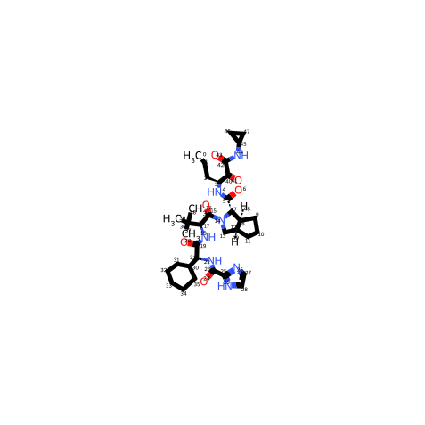 CCC[C@H](NC(=O)[C@@H]1[C@H]2CCC[C@H]2CN1C(=O)[C@@H](NC(=O)[C@@H](NC(=O)c1ncc[nH]1)C1CCCCC1)C(C)(C)C)C(=O)C(=O)NC1CC1